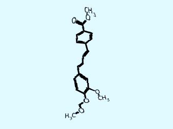 COCOc1ccc(C=CC=Cc2ccc(C(=O)OC)cc2)cc1OC